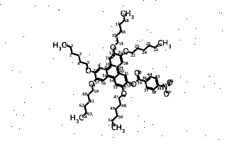 CCCCCCOc1cc2c3cc(OCCCCCC)c(OCCCCCC)cc3c3cc(OC(=O)c4ccc([N+](=O)[O-])cc4)c(OCCCCCC)cc3c2cc1OCCCCCC